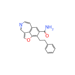 NC(=O)c1cc2c3c(coc3c1CCc1ccccc1)C=NC=C2